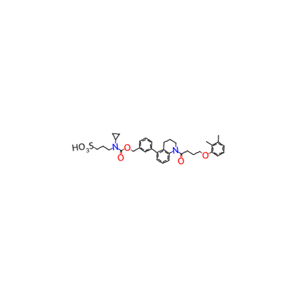 Cc1cccc(OCCCC(=O)N2CCCc3c(-c4cccc(COC(=O)N(CCCS(=O)(=O)O)C5CC5)c4)cccc32)c1C